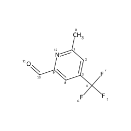 Cc1cc(C(F)(F)F)cc(C=O)n1